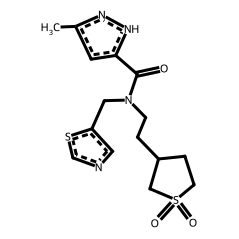 Cc1cc(C(=O)N(CCC2CCS(=O)(=O)C2)Cc2cncs2)[nH]n1